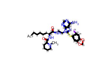 CC(=O)CCCCC[C@H](NC(=O)C1CCCCN1C)C(=O)NCCn1c(Sc2cc3c(cc2I)OCO3)nc2c(N)ncnc21